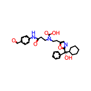 O=Cc1ccc(NC(=O)CCN(CCc2cnc([C@](O)(c3ccccc3)C3CCCCC3)o2)C(=O)O)cc1